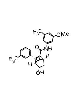 COc1cc(NC(=O)[C@@H]2[C@@H](c3cccc(C(F)(F)F)c3)[C@H]3O[C@@H]2C[C@@H]3O)cc(C(F)(F)F)c1